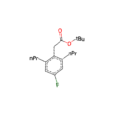 CCCc1cc(F)cc(CCC)c1CC(=O)OC(C)(C)C